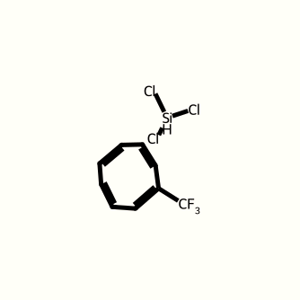 Cl[SiH](Cl)Cl.FC(F)(F)C1=CC=CC=CC=C1